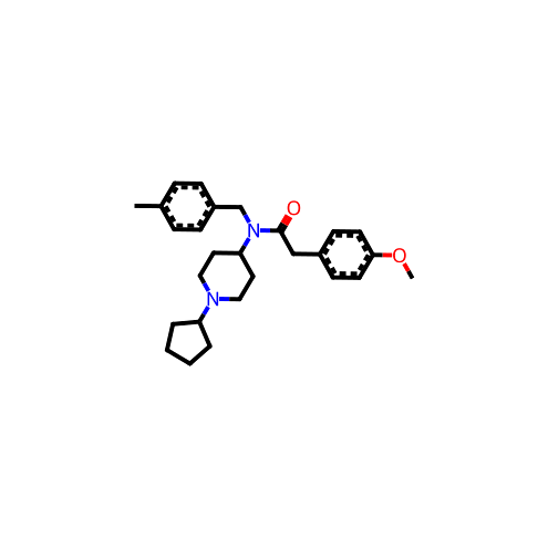 COc1ccc(CC(=O)N(Cc2ccc(C)cc2)C2CCN(C3CCCC3)CC2)cc1